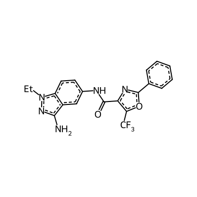 CCn1nc(N)c2cc(NC(=O)c3nc(-c4ccccc4)oc3C(F)(F)F)ccc21